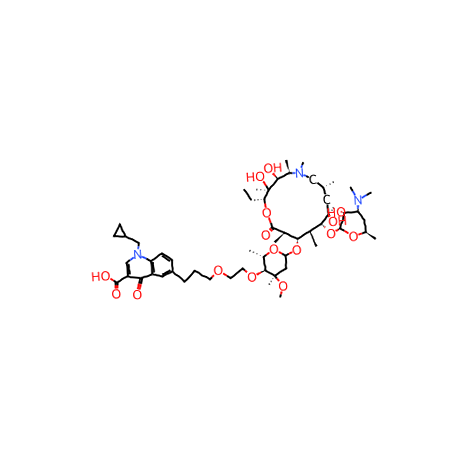 CC[C@H]1OC(=O)[C@H](C)[C@@H](OC2C[C@@](C)(OC)[C@@H](OCCOCCCc3ccc4c(c3)c(=O)c(C(=O)O)cn4CC3CC3)[C@H](C)O2)[C@H](C)[C@@H](O[C@@H]2O[C@H](C)C[C@H](N(C)C)[C@H]2O)[C@](C)(O)C[C@@H](C)CN(C)[C@H](C)[C@H](O)[C@]1(C)O